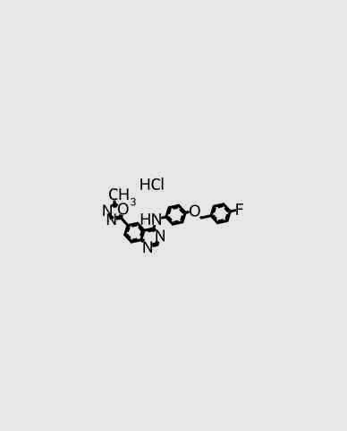 Cc1nnc(-c2ccc3ncnc(Nc4ccc(OCc5ccc(F)cc5)cc4)c3c2)o1.Cl